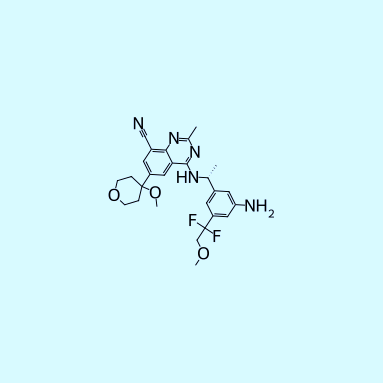 COCC(F)(F)c1cc(N)cc([C@@H](C)Nc2nc(C)nc3c(C#N)cc(C4(OC)CCOCC4)cc23)c1